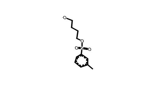 Cc1cccc(S(=O)(=O)OCCCC[O])c1